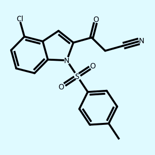 Cc1ccc(S(=O)(=O)n2c(C(=O)CC#N)cc3c(Cl)cccc32)cc1